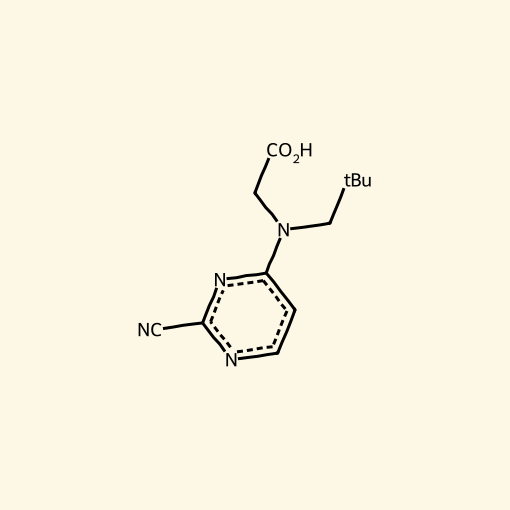 CC(C)(C)CN(CC(=O)O)c1ccnc(C#N)n1